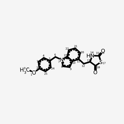 COc1ccc(Cn2ccc3c(CC4NC(=O)SC4=O)cccc32)cc1